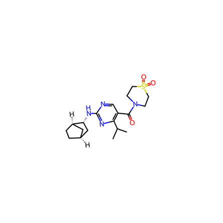 CC(C)c1nc(N[C@@H]2C[C@H]3CC[C@@H]2C3)ncc1C(=O)N1CCS(=O)(=O)CC1